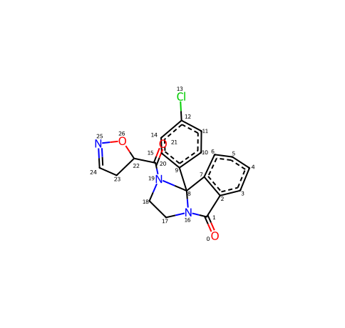 O=C1c2ccccc2C2(c3ccc(Cl)cc3)N1CCN2C(=O)C1CC=NO1